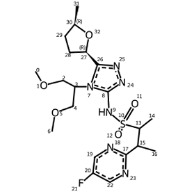 COCC(COC)n1c(NS(=O)(=O)C(C)C(C)c2ncc(F)cn2)nnc1[C@H]1CC[C@@H](C)O1